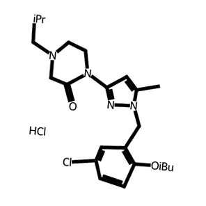 Cc1cc(N2CCN(CC(C)C)CC2=O)nn1Cc1cc(Cl)ccc1OCC(C)C.Cl